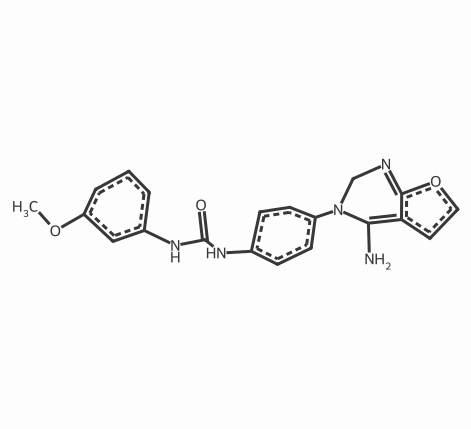 COc1cccc(NC(=O)Nc2ccc(N3CN=c4occc4=C3N)cc2)c1